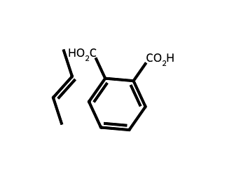 CC=CC.O=C(O)c1ccccc1C(=O)O